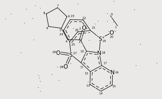 CC.O=C(CC1CCCC1)c1c2c3cccnc3n1[S+]([O-])c1cccc(c1)S2(=O)=O